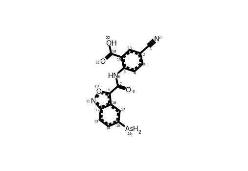 N#Cc1ccc(NC(=O)c2onc3ccc([AsH2])cc23)c(C(=O)O)c1